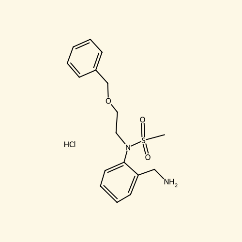 CS(=O)(=O)N(CCOCc1ccccc1)c1ccccc1CN.Cl